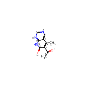 CC(=O)c1c(C)c2cncnc2[nH]c1=O